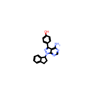 Nc1ncnc2c1c(-c1ccc(O)cc1)nn2C1CCc2ccccc21